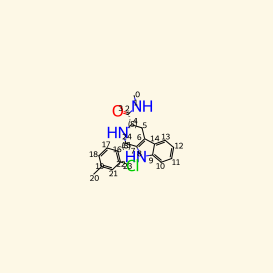 CNC(=O)[C@@H]1Cc2c([nH]c3ccccc23)[C@H](c2ccc(C)cc2Cl)N1